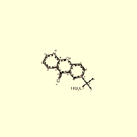 CC(C)(C(=O)O)c1ccc2oc3ncccc3c(=O)c2c1